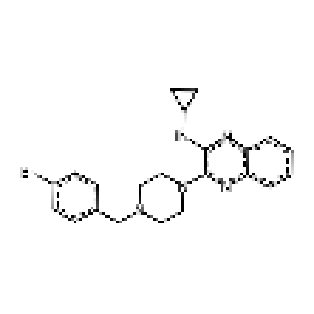 Brc1ccc(CN2CCN(c3nc4ccccc4nc3NC3CC3)CC2)cc1